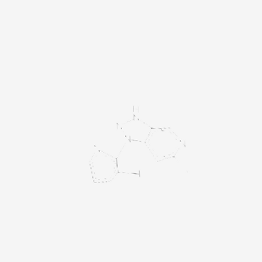 Cc1cc2c(cn1)NNN2c1ncccc1F